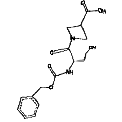 O=C(N[C@@H](CO)C(=O)N1CC(C(=O)O)C1)OCc1ccccc1